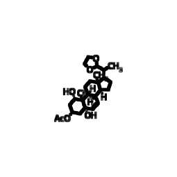 CC(=O)O[C@H]1C[C@H](O)[C@]2(C)[C@H]3CC[C@]4(C)[C@@H](C(C)C5OCCO5)CC[C@H]4[C@@H]3C=C[C@@]2(O)C1